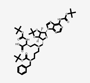 CC(C)(C)OC(=O)Nc1ncnc2c1ncn2[C@@H]1O[C@H](CN(CCCN(Cc2ccccc2)C(=O)OC(C)(C)C)CC[C@H](NC(=O)OC(C)(C)C)C(=O)O)[C@H]2OC(C)(C)O[C@H]21